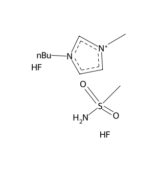 CCCCn1cc[n+](C)c1.CS(N)(=O)=O.F.F